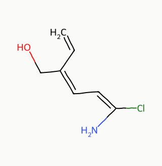 C=C/C(=C\C=C(/N)Cl)CO